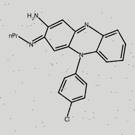 CCCN=c1cc2n(-c3ccc(Cl)cc3)c3ccccc3nc-2cc1N